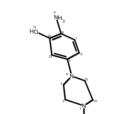 CN1CCN(c2ccc(N)c(O)c2)CC1